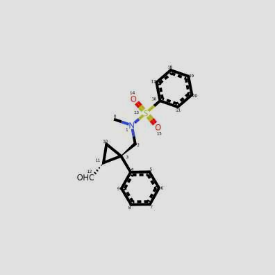 CN(C[C@]1(c2ccccc2)C[C@H]1C=O)S(=O)(=O)c1ccccc1